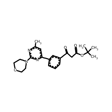 Cc1cc(-c2cccc(C(=O)CC(=O)OC(C)(C)C)c2)nc(N2CCOCC2)n1